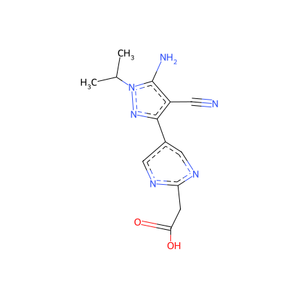 CC(C)n1nc(-c2cnc(CC(=O)O)nc2)c(C#N)c1N